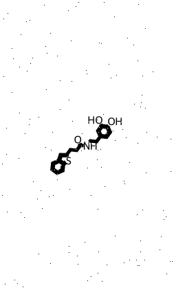 O=C(CCc1cc2ccccc2s1)NCCc1ccc(O)c(O)c1